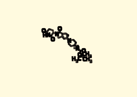 CC(C)(C)OC(=O)N1CC2(CCN(c3ccc4c(c3)CN(C3CCC(=O)NC3=O)C4=O)CC2)C1